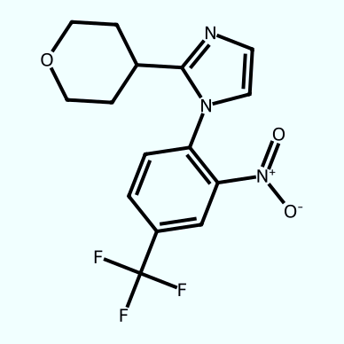 O=[N+]([O-])c1cc(C(F)(F)F)ccc1-n1ccnc1C1CCOCC1